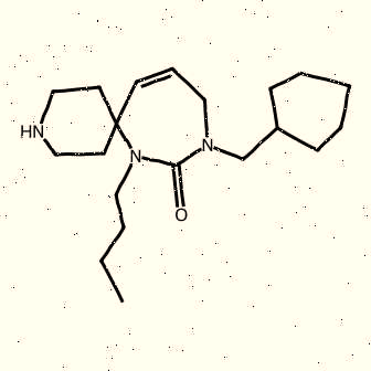 CCCCN1C(=O)N(CC2CCCCC2)CC=CC12CCNCC2